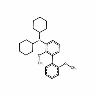 COc1ccccc1-c1cccc(P(C2CCCCC2)C2CCCCC2)c1OC